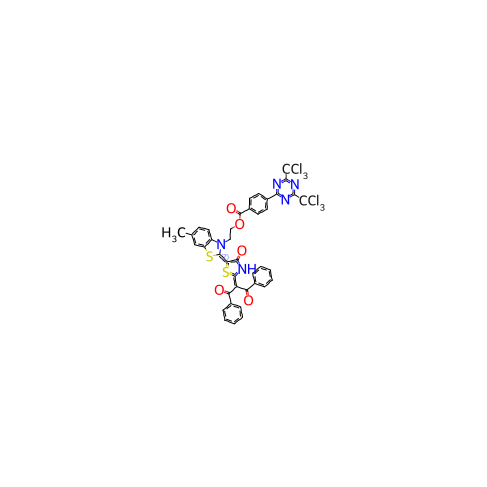 Cc1ccc2c(c1)S/C(=c1\sc(=C(C(=O)c3ccccc3)C(=O)c3ccccc3)[nH]c1=O)N2CCOC(=O)c1ccc(-c2nc(C(Cl)(Cl)Cl)nc(C(Cl)(Cl)Cl)n2)cc1